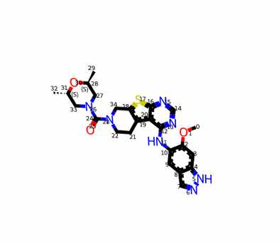 COc1cc2[nH]ncc2cc1Nc1ncnc2sc3c(c12)CCN(C(=O)N1C[C@H](C)O[C@@H](C)C1)C3